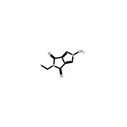 Cn1cc2c(c1)C(=O)N(CI)C2=O